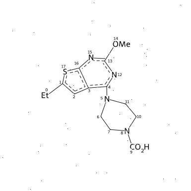 CCc1cc2c(N3CCN(C(=O)O)CC3)nc(OC)nc2s1